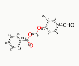 Cc1cc(C=O)ccc1OCOC(=O)c1ccccc1